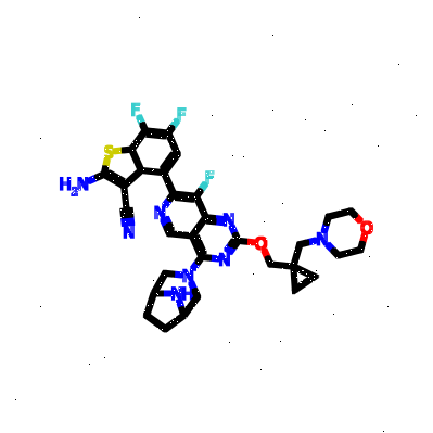 N#CC1=C(N)SC2C(F)=C(F)C=C(c3ncc4c(N5CC6CCC(C5)N6)nc(OCC5(CN6CCOCC6)CC5)nc4c3F)C12